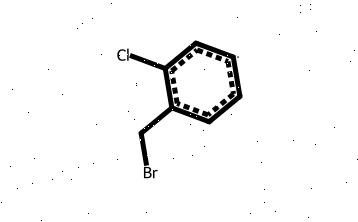 Clc1c[c]ccc1CBr